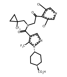 O=C(CN(CC1(C(F)(F)F)CC1)C(=O)c1cnn([C@H]2CC[C@H](C(=O)O)CC2)c1C(F)(F)F)c1c(Cl)cncc1Cl